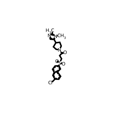 Cc1ncc(C2CCN(C(=O)CCS(=O)(=O)c3ccc4cc(Cl)ccc4c3)CC2)n1C